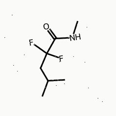 CNC(=O)C(F)(F)CC(C)C